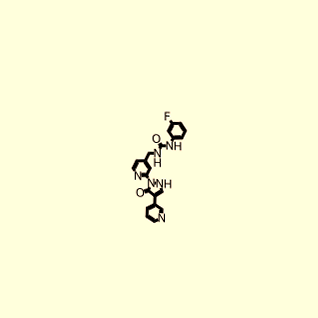 O=C(NCc1ccnc(-n2[nH]cc(-c3cccnc3)c2=O)c1)Nc1cccc(F)c1